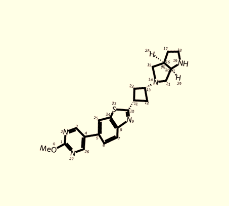 COc1ncc(-c2ccc3nc([C@H]4C[C@@H](N5C[C@H]6CCN[C@H]6C5)C4)sc3c2)cn1